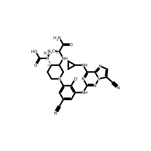 C[C@H](NC1CN(c2cc(C#N)cc(Nc3nc(NC4CC4)c4ncc(C#N)n4n3)c2Cl)CC[C@@H]1N(C)C(=O)O)C(N)=O